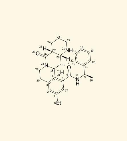 CCc1cc2c(c(C(=O)N[C@H](C)c3ccccc3)c1)[C@@H]1C[C@H]3NCCC[C@H]3C(=O)N1CC2